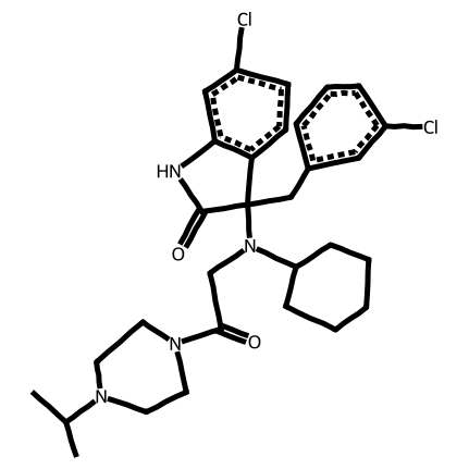 CC(C)N1CCN(C(=O)CN(C2CCCCC2)C2(Cc3cccc(Cl)c3)C(=O)Nc3cc(Cl)ccc32)CC1